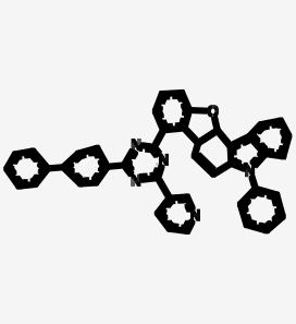 C1=CC2c3c(cccc3-c3nc(-c4ccc(-c5ccccc5)cc4)nc(-c4cccnc4)n3)OC2c2c1n(-c1ccccc1)c1ccccc21